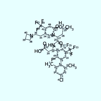 Cc1cc(Cl)cc(C)c1-c1cc(C(F)(F)F)c(F)c(C(CC(=O)O)NC(=O)C(CC(C)C)n2cc(CCN3CCC3)c(C(F)(F)F)cc2=O)c1F